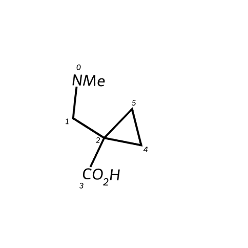 CNCC1(C(=O)O)CC1